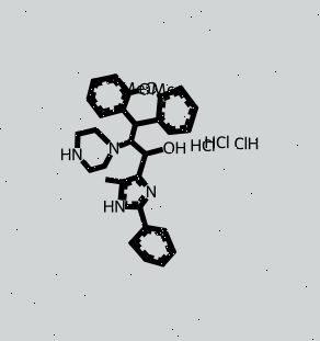 COc1ccccc1C(c1ccccc1OC)C(C(O)c1nc(-c2ccccc2)[nH]c1C)N1CCNCC1.Cl.Cl.Cl